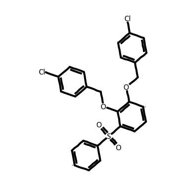 O=S(=O)(c1cc[c]cc1)c1cc[c]c(OCc2ccc(Cl)cc2)c1OCc1ccc(Cl)cc1